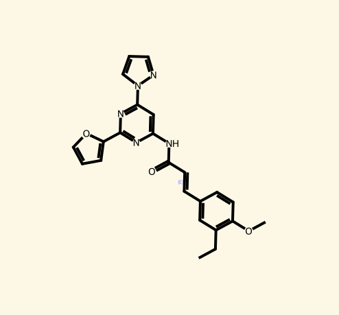 CCc1cc(/C=C/C(=O)Nc2cc(-n3cccn3)nc(-c3ccco3)n2)ccc1OC